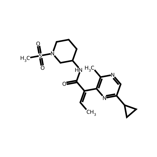 C/C=C(/C(=O)NC1CCCN(S(C)(=O)=O)C1)c1nc(C2CC2)cnc1C